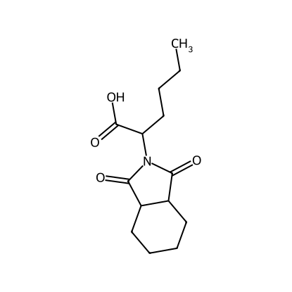 CCCCC(C(=O)O)N1C(=O)C2CCCCC2C1=O